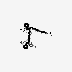 CN1/C(=C/C=C/C=C/C=C/C2=[N+](CCCCCNCCCCN)c3ccccc3C2(C)C)C(C)(C)c2ccccc21